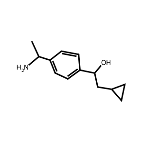 CC(N)c1ccc(C(O)CC2CC2)cc1